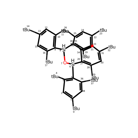 CC(C)(C)c1cc(C(C)(C)C)c([SiH](O[SiH](c2c(C(C)(C)C)cc(C(C)(C)C)cc2C(C)(C)C)c2c(C(C)(C)C)cc(C(C)(C)C)cc2C(C)(C)C)c2c(C(C)(C)C)cc(C(C)(C)C)cc2C(C)(C)C)c(C(C)(C)C)c1